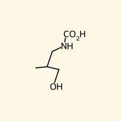 CC(CO)CNC(=O)O